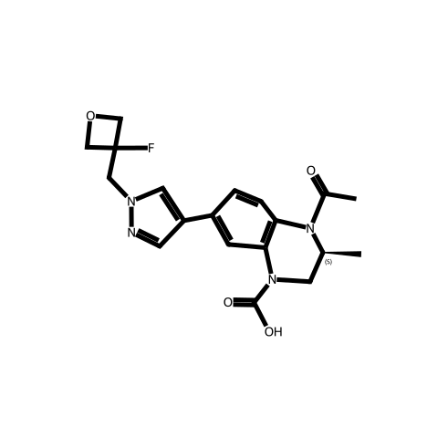 CC(=O)N1c2ccc(-c3cnn(CC4(F)COC4)c3)cc2N(C(=O)O)C[C@@H]1C